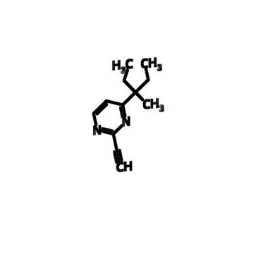 C#Cc1nccc(C(C)(CC)CC)n1